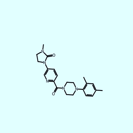 Cc1ccc(N2CCN(C(=O)c3ccc(N4CCN(C)C4=O)cn3)CC2)c(C)c1